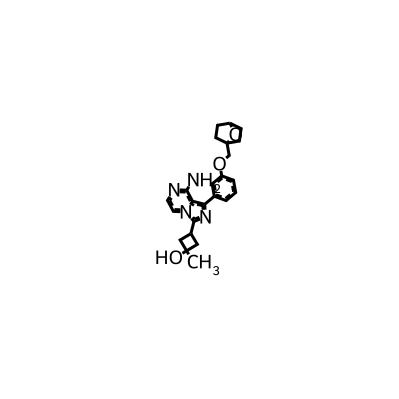 CC1(O)CC(c2nc(-c3cccc(OCC45CCC(CC4)O5)c3)c3c(N)nccn23)C1